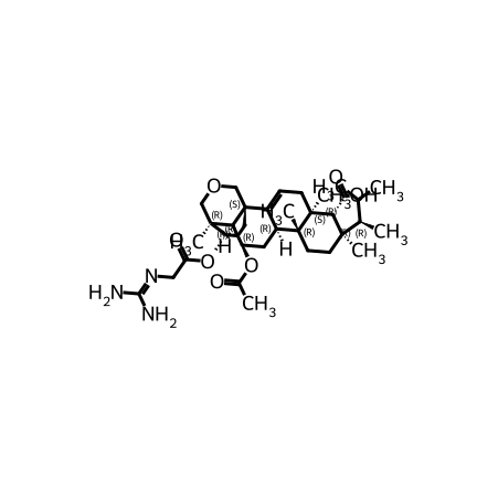 CC(=O)O[C@@H]1C[C@]23COC[C@@](C)([C@@H]2CC[C@H]2C3=CC[C@@]3(C)[C@H](C(=O)O)[C@@](C)([C@H](C)C(C)C)CC[C@]23C)[C@H]1OC(=O)CN=C(N)N